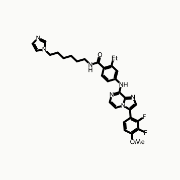 CCc1cc(Nc2nccn3c(-c4ccc(OC)c(F)c4F)cnc23)ccc1C(=O)NCCCCCCn1ccnc1